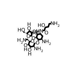 NCCC(O)C(=O)N[C@@H]1C[C@H](N)[C@@H](O[C@H]2O[C@H](CN)[C@@H](O)[C@H](O)[C@H]2N)[C@@H](O[C@@H]2O[C@H](CO)[C@@H](O)[C@H]2O)[C@H]1O